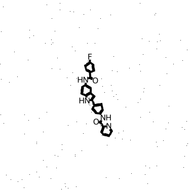 O=C(Nc1ccc2[nH]c(-c3ccc(NC(=O)c4ccccn4)cc3)cc2c1)c1ccc(F)cc1